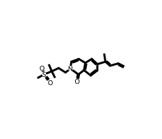 C=C/C=C(\C)c1ccc2c(=O)n(CCC(C)(C)S(C)(=O)=O)ccc2c1